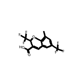 Cc1cc(C(F)(F)F)cc2c1OC(C(F)(F)F)C(C(=O)O)=C2